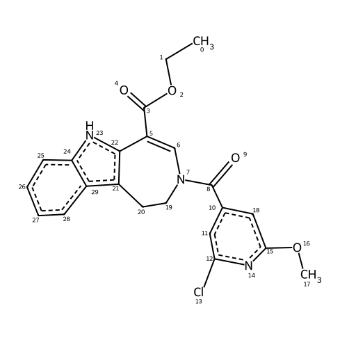 CCOC(=O)C1=CN(C(=O)c2cc(Cl)nc(OC)c2)CCc2c1[nH]c1ccccc21